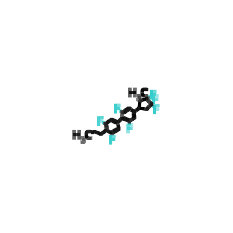 CCCc1c(F)cc(-c2c(F)cc(C3CC(C)(F)C(F)(F)C3)cc2F)cc1F